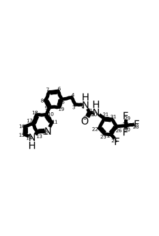 O=C(NCCc1cccc(-c2cnc3[nH]ccc3c2)c1)Nc1ccc(F)c(C(F)(F)F)c1